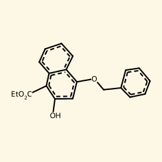 CCOC(=O)c1c(O)cc(OCc2ccccc2)c2ccccc12